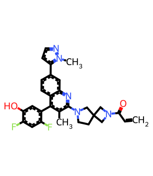 C=CC(=O)N1CC2(CCN(c3nc4cc(-c5ccnn5C)ccc4c(-c4cc(O)c(F)cc4F)c3C)C2)C1